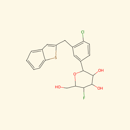 OCC1OC(c2ccc(Cl)c(Cc3cc4ccccc4s3)c2)C(O)C(O)C1F